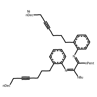 CCCCCCCCCCCC#CCCCc1ccccc1N=C(CCCC)C(CCCCC)=Nc1ccccc1CCCC#CCCCCCCCCCCC.[Ni]